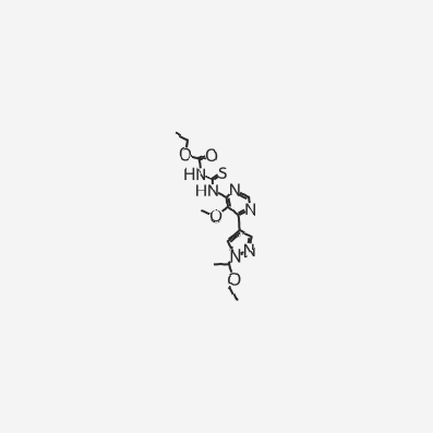 CCOC(=O)NC(=S)Nc1ncnc(-c2cnn(C(C)OCC)c2)c1OC